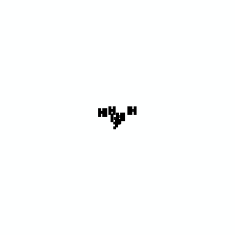 I.I.I.I.[P]